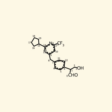 O=CC(CO)c1ccc(Cc2cc(C(F)(F)F)nc(C3CCCC3)n2)cc1